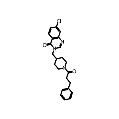 O=C(CCc1ccccc1)N1CCC(Cn2cnc3cc(Cl)ccc3c2=O)CC1